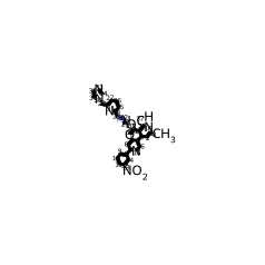 CC1=CC(c2ccc(-c3cccc([N+](=O)[O-])c3)nc2)C(C(=O)OC/C=C/c2cccc(Cn3ccnc3)n2)=C(C)N1